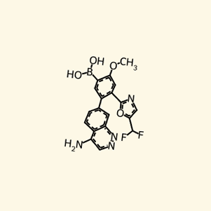 COc1cc(-c2ncc(C(F)F)o2)c(-c2ccc3c(N)cnnc3c2)cc1B(O)O